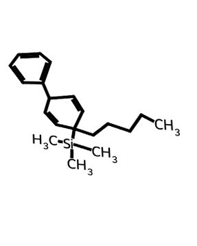 CCCCCC1([Si](C)(C)C)C=CC(c2ccccc2)C=C1